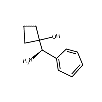 N[C@H](c1ccccc1)C1(O)CCC1